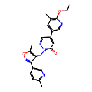 CCOc1ncc(-c2cnn(Cc3c(-c4ccc(C)nc4)noc3C)c(=O)c2)cc1C